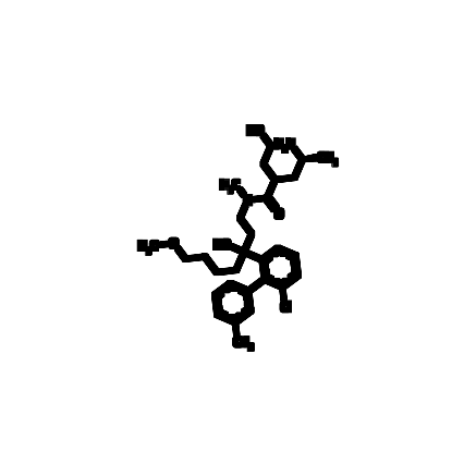 COCCCCC(O)(CCN(C)C(=O)C(CCO)C[C@H](C)N)c1cccc(Cl)c1-c1cccc(C)c1